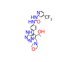 CC(O)c1c(-c2ccc(NC(=O)Nc3cc(C(F)(F)F)ccn3)cc2)c2c(N)ncnn2c1CN1CCOCC1